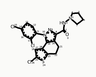 O=C(NN1CCCC1)c1nn(-c2ccc(Cl)cc2Cl)c2c1CCc1sc(Cl)cc1-2